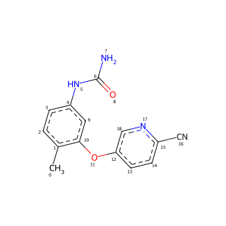 Cc1ccc(NC(N)=O)cc1Oc1ccc(C#N)nc1